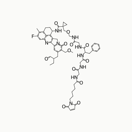 CCC(C=O)Cc1cc2n(c(=O)c1COC)Cc1c-2nc2cc(F)c(C)c3c2c1C(NC(=O)C1(COCNC(=O)CNC(=O)C(Cc2ccccc2)NC(=O)CNC(=O)CNC(=O)CCCCCN2C(=O)C=CC2=O)CC1)CC3